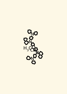 CC1(C)c2cc(N(c3ccc(N(c4ccccc4)c4ccccc4)cc3)c3cccc4ccccc34)ccc2-c2ccc(N(c3ccc(N(c4ccccc4)c4ccccc4)cc3)c3cccc4ccccc34)cc21